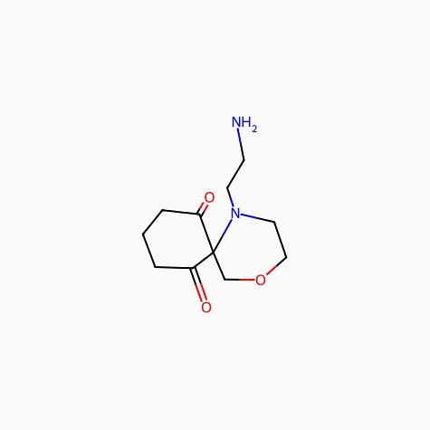 NCCN1CCOCC12C(=O)CCCC2=O